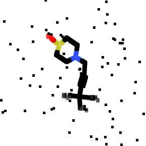 CC(C)(C)C#CCN1CC[S+]([O-])CC1